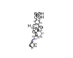 Cc1cc(OP(=O)(O)O)ccc1C(=O)N[C@H]1CCCCN(C/C=C/c2ccccc2)C1=O